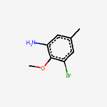 COc1c(N)cc(C)cc1Br